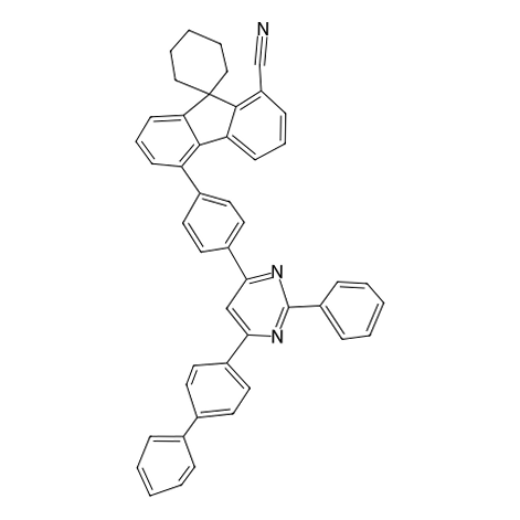 N#Cc1cccc2c1C1(CCCCC1)c1cccc(-c3ccc(-c4cc(-c5ccc(-c6ccccc6)cc5)nc(-c5ccccc5)n4)cc3)c1-2